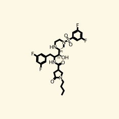 CCCCN1CC(C(=O)NC(Cc2cc(F)cc(F)c2)[C@H](O)[C@H]2CN(S(=O)(=O)c3cc(F)cc(F)c3)CCN2)CC1=O